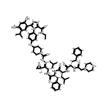 CCNC(=O)c1nnc(-c2cc(C(C)C)c(O)cc2O)n1-c1ccc(OC2CCN(C(=O)ON=C([C@H](CC(C)C)NC(=O)[C@H](Cc3ccccc3)NC(=O)[C@H](CC(C)C)NC(=O)[C@H](CCc3ccccc3)NC(=O)CN3CCOCC3)[C@@]3(C)CO3)CC2)cc1